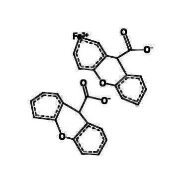 O=C([O-])C1c2ccccc2Oc2ccccc21.O=C([O-])C1c2ccccc2Oc2ccccc21.[Fe+2]